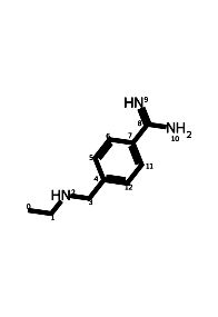 CCNCc1ccc(C(=N)N)cc1